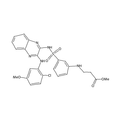 COC(=O)CCNc1cccc(S(=O)(=O)Nc2nc3ccccc3nc2Nc2cc(OC)ccc2Cl)c1